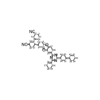 N#Cc1ccc(-c2cc3c(cc2-c2ccc(C#N)cc2)Oc2cc(-c4nc(-c5ccccc5)nc(-c5ccc(-c6ccccc6)cc5)n4)ccc2O3)cc1